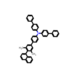 Cc1cc(-c2ccc(N(c3ccc(-c4ccccc4)cc3)c3ccc(-c4ccccc4)cc3)cc2)cc(C)c1-c1cccc2ccccc12